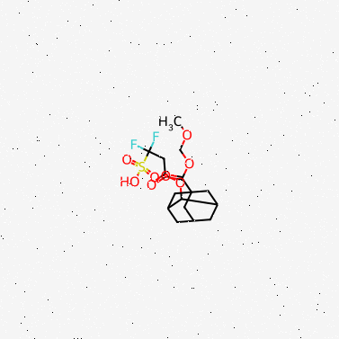 COCOC(=O)C12CC3CC(C1)C(OC(=O)CC(F)(F)S(=O)(=O)O)C(C3)C2